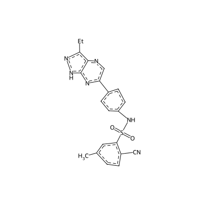 CCc1n[nH]c2nc(-c3ccc(NS(=O)(=O)c4cc(C)ccc4C#N)cc3)cnc12